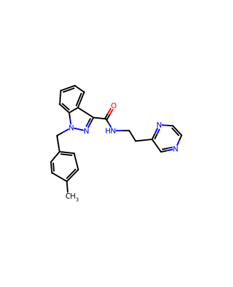 Cc1ccc(Cn2nc(C(=O)NCCc3cnccn3)c3ccccc32)cc1